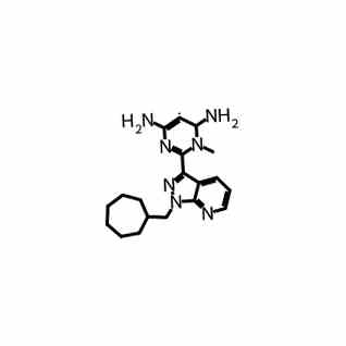 CN1C(c2nn(CC3CCCCCC3)c3ncccc23)=NC(N)=[C]C1N